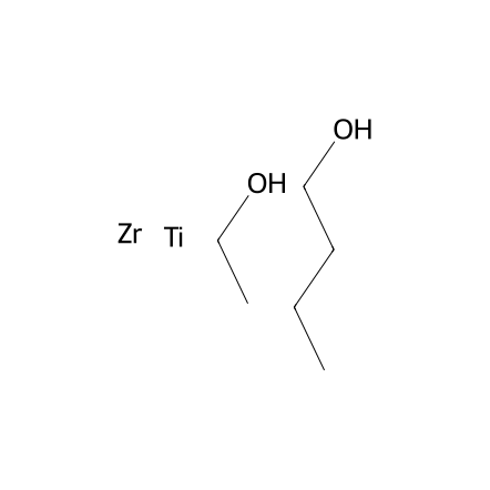 CCCCO.CCO.[Ti].[Zr]